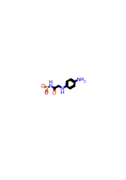 Nc1ccc(NCC(=O)N[SH](=O)=O)cc1